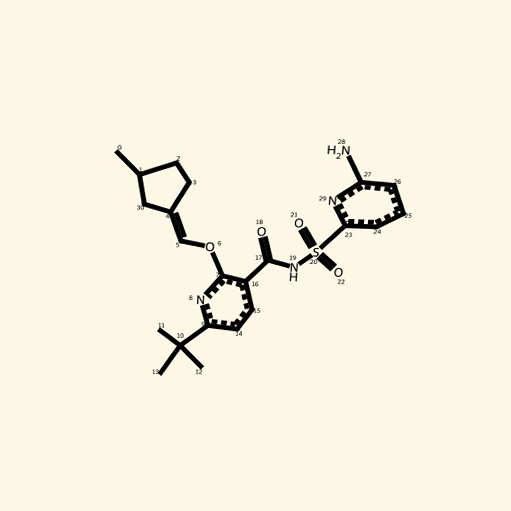 CC1CC/C(=C\Oc2nc(C(C)(C)C)ccc2C(=O)NS(=O)(=O)c2cccc(N)n2)C1